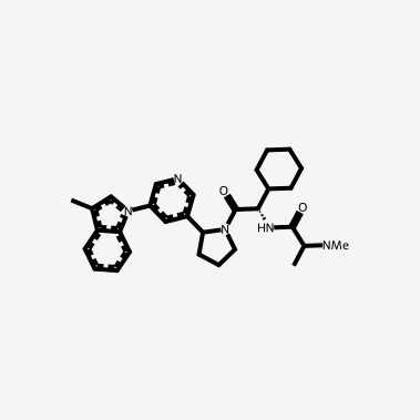 CNC(C)C(=O)N[C@H](C(=O)N1CCCC1c1cncc(-n2cc(C)c3ccccc32)c1)C1CCCCC1